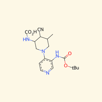 CC1CN(c2ccncc2NC(=O)OC(C)(C)C)CC(NC(=O)O)C1C#N